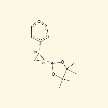 CC1(C)OB([C@@H]2C[C@@H]2c2ccccc2)OC1(C)C